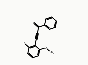 COc1cccc(F)c1C#CC(=O)c1ccccc1